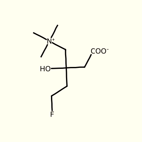 C[N+](C)(C)CC(O)(CCF)CC(=O)[O-]